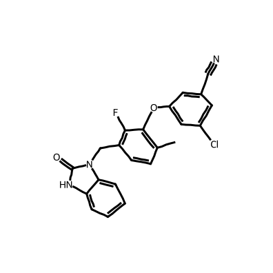 Cc1ccc(Cn2c(=O)[nH]c3ccccc32)c(F)c1Oc1cc(Cl)cc(C#N)c1